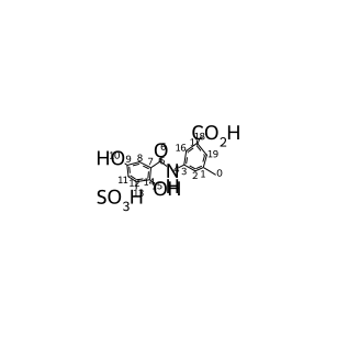 Cc1cc(NC(=O)c2cc(O)cc(S(=O)(=O)O)c2O)cc(C(=O)O)c1